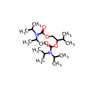 CC(C)C(COC(=O)N(C(C)C)C(C)C)OC(=O)N(C(C)C)C(C)C